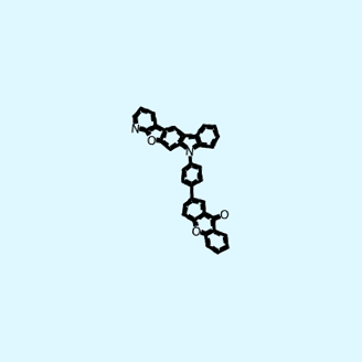 O=c1c2ccccc2oc2ccc(-c3ccc(-n4c5ccccc5c5cc6c(cc54)oc4ncccc46)cc3)cc12